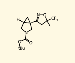 CC(C)(C)OC(=O)N1C[C@@H]2C[C@]2(C2=NOC(C)(C(F)(F)F)C2)C1